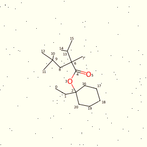 CCC1(OC(=O)C(C)(CC(C)(C)C)C(C)C)CCCCC1